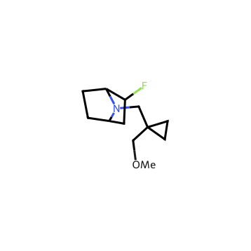 COCC1(CN2C3CCC2C(F)C3)CC1